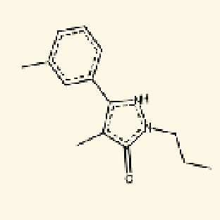 CCCn1[nH]c(-c2cccc(C)c2)c(C)c1=O